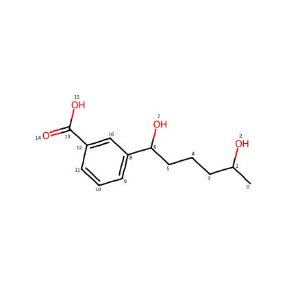 CC(O)CCCC(O)c1cccc(C(=O)O)c1